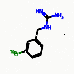 N=C(N)NCc1cccc([76Br])c1